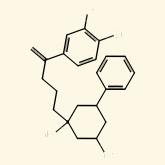 C=C(CCCC1(CCC)CC(CCC)CC(c2ccccc2)C1)c1ccc(CC)c(C(F)(F)F)c1